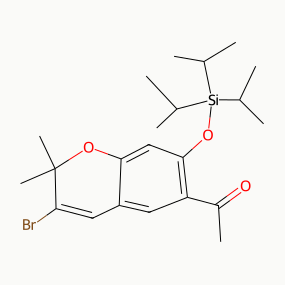 CC(=O)c1cc2c(cc1O[Si](C(C)C)(C(C)C)C(C)C)OC(C)(C)C(Br)=C2